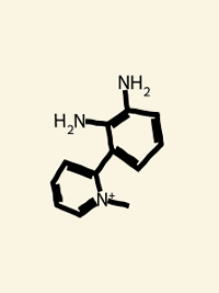 C[n+]1ccccc1-c1cccc(N)c1N